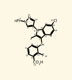 CCCn1cc(-n2c(C)c(Sc3cccc(C(=O)O)c3F)c3ccc(Cl)cc32)cn1